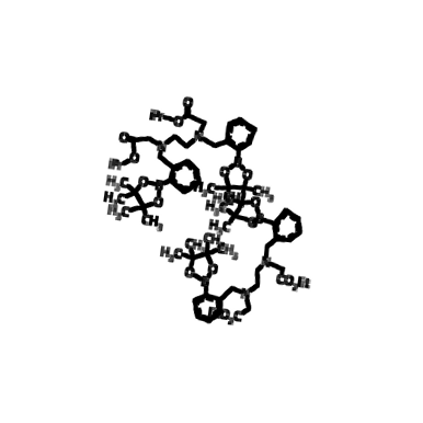 CCOC(=O)CN(CCN(CC(=O)OCC)Cc1ccccc1B1OC(C)(C)C(C)(C2(C)OB(c3ccccc3CN(CCN(CC(=O)OC(C)C)Cc3ccccc3B3OC(C)(C)C(C)(C)O3)CC(=O)OC(C)C)OC2(C)C)O1)Cc1ccccc1B1OC(C)(C)C(C)(C)O1